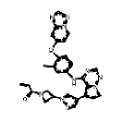 C=CC(=O)N1CC(n2cc(-c3ccn4ncnc(Nc5ccc(Oc6ccn7ncnc7c6)c(C)c5)c34)cn2)C1